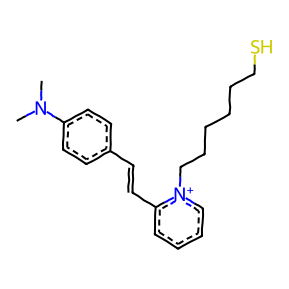 CN(C)c1ccc(/C=C/c2cccc[n+]2CCCCCCS)cc1